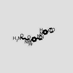 NC(=O)CCC(N)C(=O)Nc1ccc(-c2ccnc(Nc3ccc(N4CCOCC4)cc3)n2)cc1